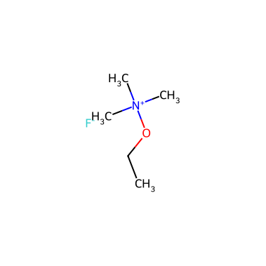 CCO[N+](C)(C)C.[F-]